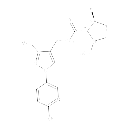 COc1nn(-c2ccc(C(F)(F)F)nc2)cc1CNC(=O)[C@@H]1[C@@H](F)CCN1C(=O)O